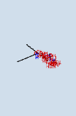 CCCCCCCCCCCCC/C=C/[C@@H](O)[C@H](CO[C@@H]1OC(CO)[C@@H](O[C@@H]2OC(CO)[C@H](O[C@@H]3OC(CO)[C@H](O)[C@H](O[C@@H]4OC(CO[C@@H]5OC(CO)[C@@H](O[C@@H]6OC(CO)[C@H](O)[C@H](O)C6O)[C@H](O[C@H]6C(O)[C@H](O)C(C)O[C@H]6O)C5NC(C)=O)[C@H](O)[C@H](O)C4NC(C)=O)C3O)[C@H](O)C2O)[C@H](O)C1O)NC(=O)CCCCCCCCCCCCCCCCCCCCCCC